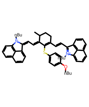 CCCCOc1ccc(SC2=C(/C=C/C3=[N+](CCCC)c4cccc5cccc3c45)CCC(C)/C2=C\C=c2/c3cccc4cccc(c43)n2CCCC)cc1